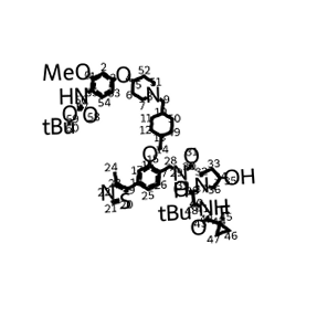 COc1cc(OC2CCN(CC3CCC(COc4cc(-c5scnc5C)ccc4CNC(=O)[C@@H]4C[C@@H](O)CN4C(=O)[C@@H](NC(=O)C4(F)CC4)C(C)(C)C)CC3)CC2)ccc1NC(=O)OC(C)(C)C